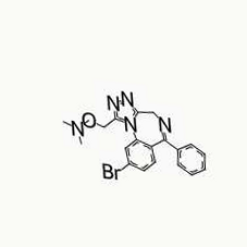 CN(C)OCc1nnc2n1-c1cc(Br)ccc1C(c1ccccc1)=NC2